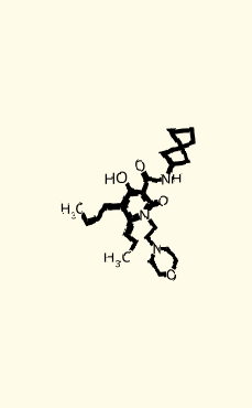 C\C=C/C=c1/c(O)c(C(=O)NC2CC3(CCC3)C2)c(=O)n(CCN2CCOCC2)/c1=C\CC